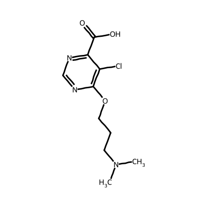 CN(C)CCCOc1ncnc(C(=O)O)c1Cl